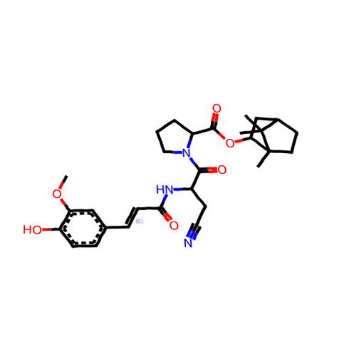 COc1cc(/C=C/C(=O)NC(CC#N)C(=O)N2CCCC2C(=O)OC2CC3CCC2(C)C3(C)C)ccc1O